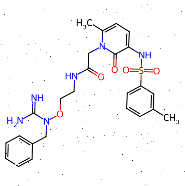 Cc1cccc(S(=O)(=O)Nc2ccc(C)n(CC(=O)NCCON(Cc3ccccc3)C(=N)N)c2=O)c1